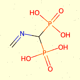 C=NC(P(=O)(O)O)P(=O)(O)O